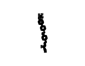 N#CC(F)=CCC[C@H]1CC[C@H](OC[C@H]2CC[C@H](c3ccc(OC(F)(F)F)cc3)CC2)CC1